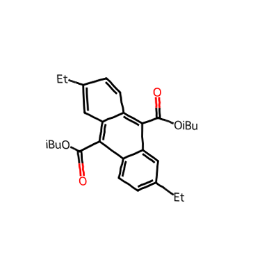 CCc1ccc2c(C(=O)OCC(C)C)c3cc(CC)ccc3c(C(=O)OCC(C)C)c2c1